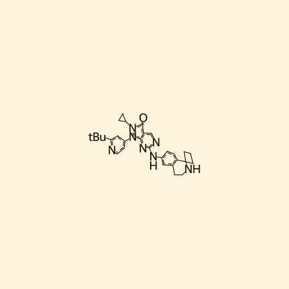 CC(C)(C)c1cc(-n2c3nc(Nc4ccc5c(c4)CCNC54CCC4)ncc3c(=O)n2C2CC2)ccn1